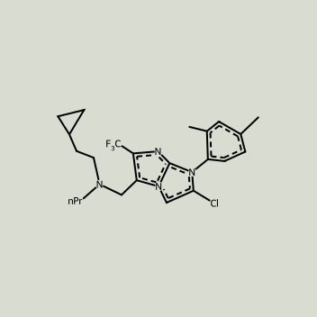 CCCN(CCC1CC1)Cc1c(C(F)(F)F)nc2n(-c3ccc(C)cc3C)c(Cl)cn12